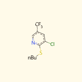 CCCCSc1ncc(C(F)(F)F)cc1Cl